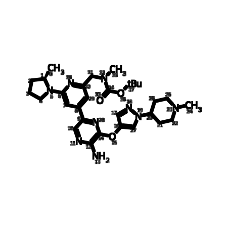 C[C@@H]1CCCN1c1cc(-c2cnc(N)c(Oc3cnn(C4CCN(C)CC4)c3)n2)cc(CN(C)C(=O)OC(C)(C)C)n1